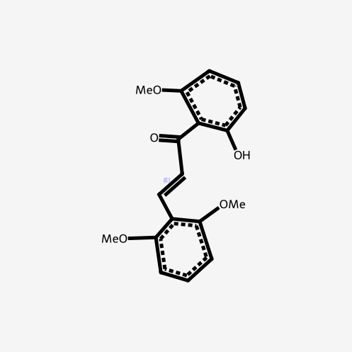 COc1cccc(OC)c1/C=C/C(=O)c1c(O)cccc1OC